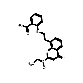 CC[S@+]([O-])c1cc(=O)c2cccc(CCNc3ccccc3C(=O)O)c2o1